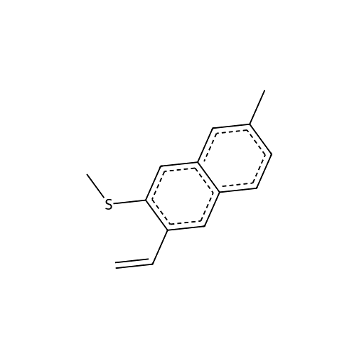 C=Cc1cc2ccc(C)cc2cc1SC